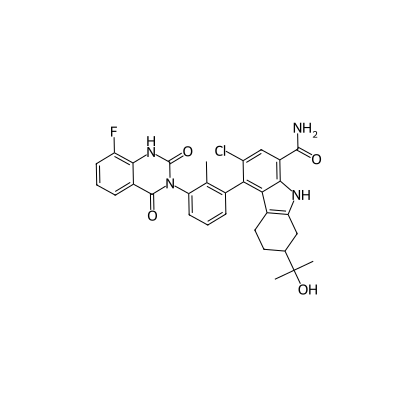 Cc1c(-c2c(Cl)cc(C(N)=O)c3[nH]c4c(c23)CCC(C(C)(C)O)C4)cccc1-n1c(=O)[nH]c2c(F)cccc2c1=O